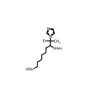 CCCCCCCCCCCCCCCCC(CCCCCC)C(C)(CC)n1ccnc1